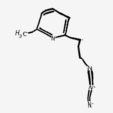 Cc1cccc([CH]CN=[N+]=[N-])n1